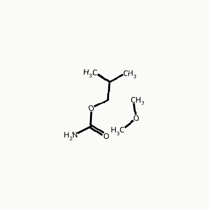 CC(C)COC(N)=O.COC